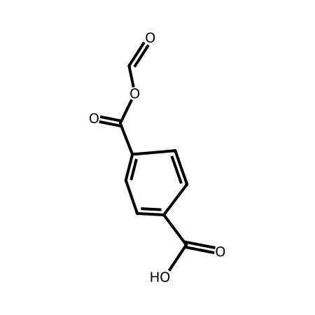 O=COC(=O)c1ccc(C(=O)O)cc1